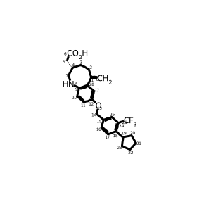 C=C1CC[C@@H](CC(=O)O)CNc2ccc(OCc3ccc(C4CCCC4)c(C(F)(F)F)c3)cc21